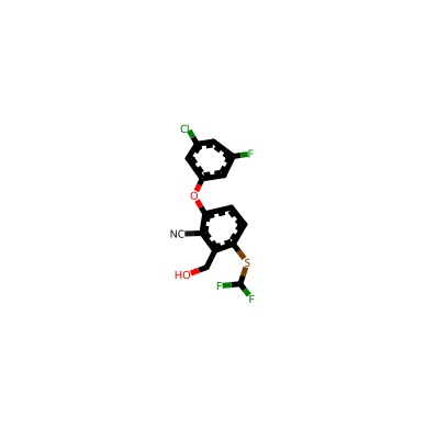 N#Cc1c(Oc2cc(F)cc(Cl)c2)ccc(SC(F)F)c1CO